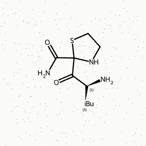 CC[C@H](C)[C@H](N)C(=O)C1(C(N)=O)NCCS1